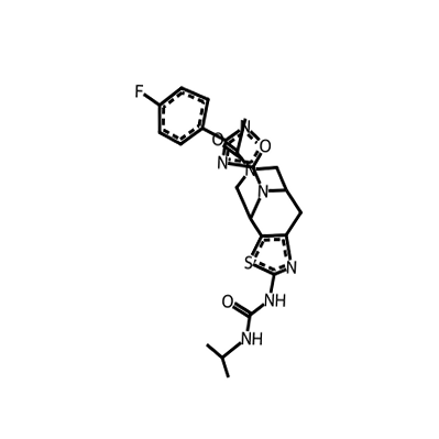 CC(=O)N1CC2Cc3nc(NC(=O)NC(C)C)sc3C(C1)N2c1nc(-c2ccc(F)cc2)no1